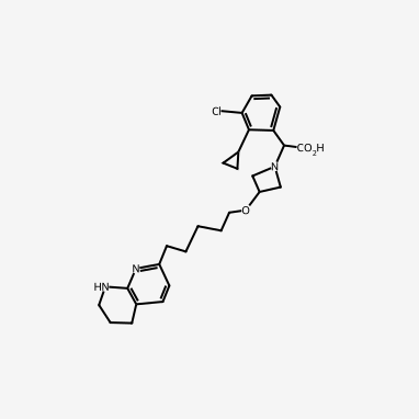 O=C(O)C(c1cccc(Cl)c1C1CC1)N1CC(OCCCCCc2ccc3c(n2)NCCC3)C1